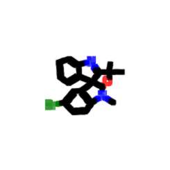 CN1C(=O)C2(C(C(C)(C)C)=Nc3ccccc32)c2cc(Br)ccc21